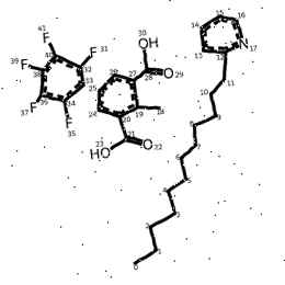 CCCCCCCCCCCCc1ccccn1.Cc1c(C(=O)O)cccc1C(=O)O.Fc1cc(F)c(F)c(F)c1F